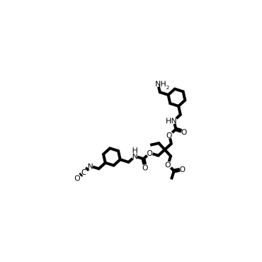 CCC(COC(C)=O)(COC(=O)NCC1CCCC(CN)C1)COC(=O)NCC1CCCC(CN=C=O)C1